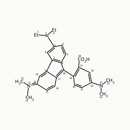 CCN(CC)c1ccc2c(c1)C1=CC(=[N+](C)C)C=CC1=C2c1ccc(N(C)C)cc1C(=O)O